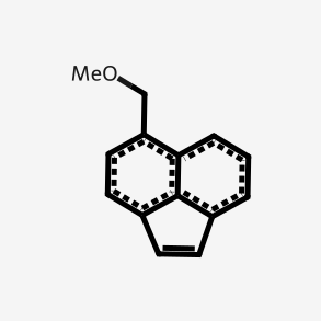 COCc1ccc2c3c(cccc13)C=C2